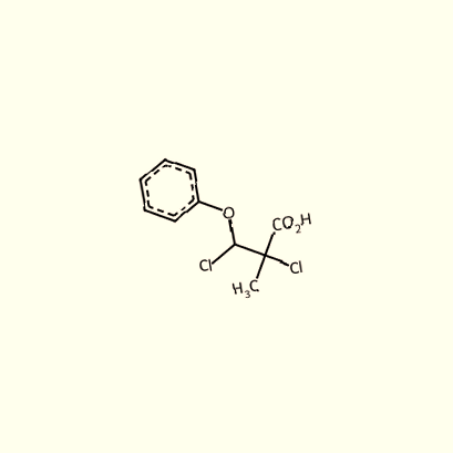 CC(Cl)(C(=O)O)C(Cl)Oc1ccccc1